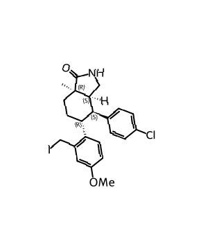 COc1ccc([C@@H]2CC[C@@]3(C)C(=O)NC[C@H]3[C@H]2c2ccc(Cl)cc2)c(CI)c1